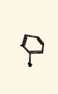 [S]c1[c]cccc1